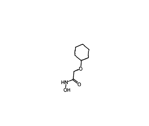 O=C(COC1CCCCC1)NO